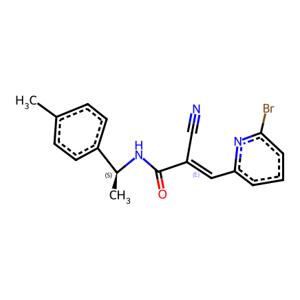 Cc1ccc([C@H](C)NC(=O)/C(C#N)=C/c2cccc(Br)n2)cc1